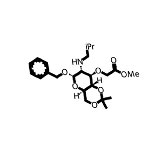 COC(=O)CO[C@@H]1[C@@H](NCC(C)C)[C@@H](OCc2ccccc2)O[C@@H]2COC(C)(C)O[C@@H]12